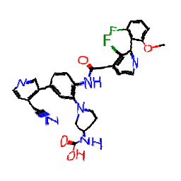 COc1cccc(F)c1-c1nccc(C(=O)Nc2ccc(-c3cnccc3C#N)cc2N2CCC(NC(=O)O)C2)c1F